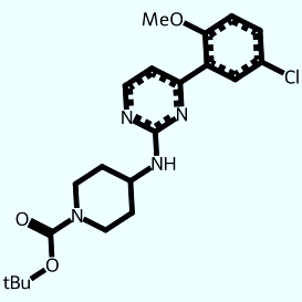 COc1ccc(Cl)cc1-c1ccnc(NC2CCN(C(=O)OC(C)(C)C)CC2)n1